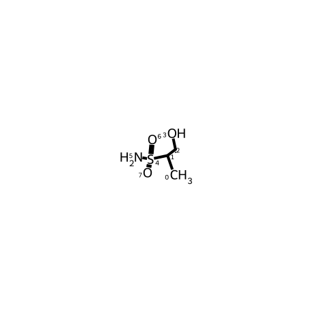 CC([CH]O)S(N)(=O)=O